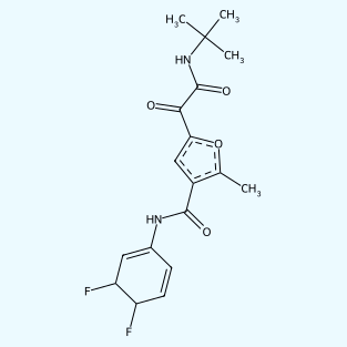 Cc1oc(C(=O)C(=O)NC(C)(C)C)cc1C(=O)NC1=CC(F)C(F)C=C1